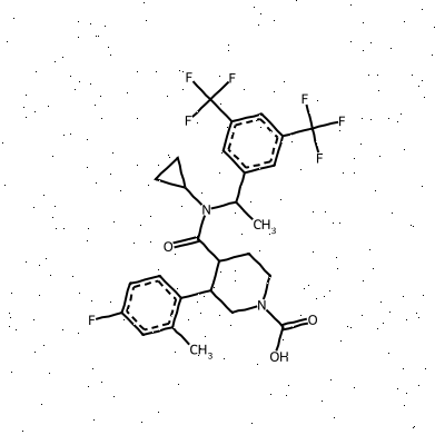 Cc1cc(F)ccc1C1CN(C(=O)O)CCC1C(=O)N(C1CC1)C(C)c1cc(C(F)(F)F)cc(C(F)(F)F)c1